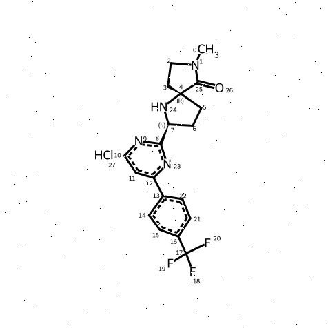 CN1CC[C@]2(CC[C@@H](c3nccc(-c4ccc(C(F)(F)F)cc4)n3)N2)C1=O.Cl